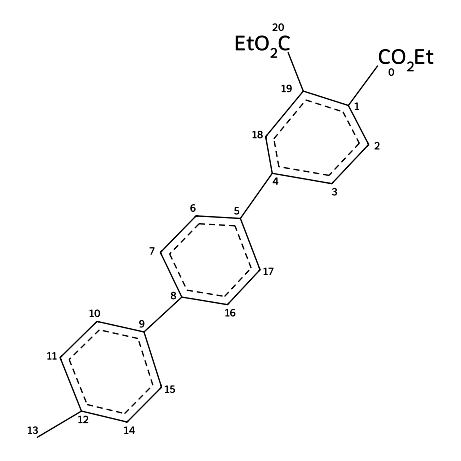 CCOC(=O)c1ccc(-c2ccc(-c3ccc(C)cc3)cc2)cc1C(=O)OCC